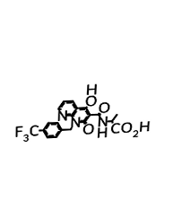 C[C@H](NC(=O)c1c(O)c2cccnc2n(Cc2ccc(C(F)(F)F)cc2)c1=O)C(=O)O